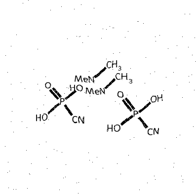 CNC.CNC.N#CP(=O)(O)O.N#CP(=O)(O)O